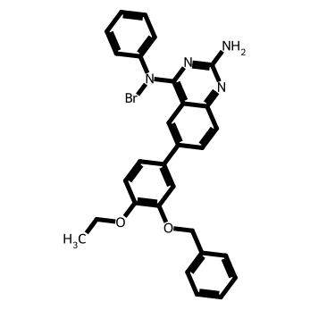 CCOc1ccc(-c2ccc3nc(N)nc(N(Br)c4ccccc4)c3c2)cc1OCc1ccccc1